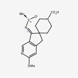 COc1cc2c(cn1)/C(=N/[S@+]([O-])C(C)(C)C)C1(CCN(C(=O)O)CC1)C2